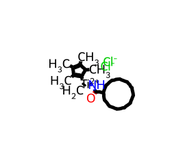 [CH2]=[Ti+2]([NH]C(=O)C1CCCCCCCCCCC1)[C]1=C(C)C(C)=C(C)C1C.[Cl-].[Cl-]